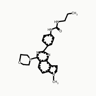 CCCNC(=O)Nc1ccc(-c2nc(N3CCOCC3)c3ccc4c(ccn4C)c3n2)cc1